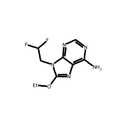 CCOc1nc2c(N)ncnc2n1CC(F)F